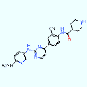 CC(=O)Nc1ccc(Nc2nccc(-c3ccc(NC(=O)C4CCNCC4)c(C#N)c3)n2)cn1